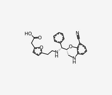 N#Cc1cccc2c1O[C@@H]([C@H](NCCc1ccc(CC(=O)O)o1)c1ccccc1)CN2